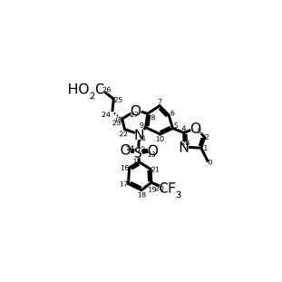 Cc1coc(-c2ccc3c(c2)N(S(=O)(=O)c2cccc(C(F)(F)F)c2)C[C@H](CCC(=O)O)O3)n1